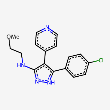 COCCNc1n[nH]c(-c2ccc(Cl)cc2)c1-c1ccncc1